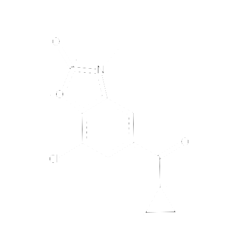 Cn1c(=O)oc2c(Cl)cc(C(=O)C3CC3)cc21